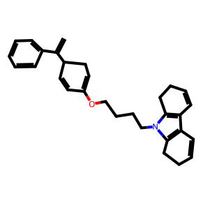 C=C(c1ccccc1)C1C=CC(OCCCCn2c3c(c4c2CCC=C4)C=CCC3)=CC1